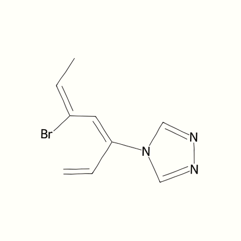 C=C/C(=C\C(Br)=C/C)n1cnnc1